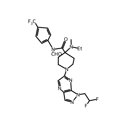 CCN(C)C1(C(=O)N(C=O)c2ccc(C(F)(F)F)cc2)CCN(c2cnc3cnn(CC(F)F)c3n2)CC1